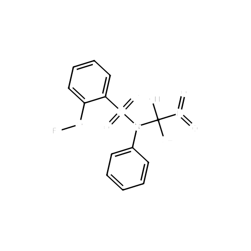 CCOc1ccccc1S(=O)(=O)N(c1ccccc1)C(C)(C)P(=O)=O